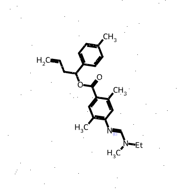 C=CCC(OC(=O)c1cc(C)c(/N=C/N(C)CC)cc1C)c1ccc(C)cc1